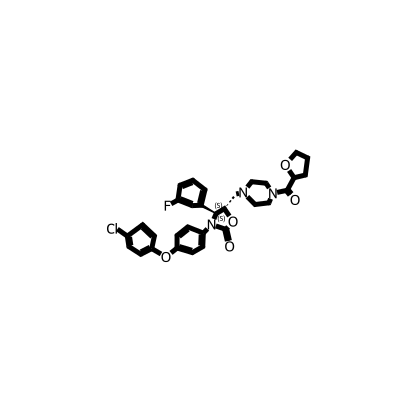 O=C(C1CCCO1)N1CCN(C[C@@H]2OC(=O)N(c3ccc(Oc4ccc(Cl)cc4)cc3)[C@H]2c2cccc(F)c2)CC1